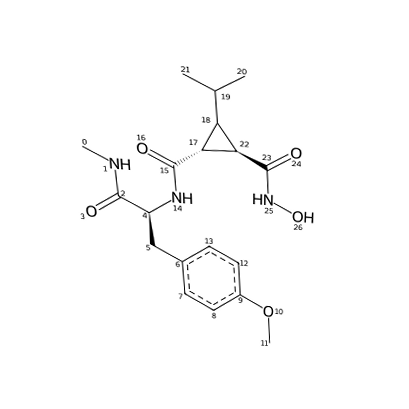 CNC(=O)[C@H](Cc1ccc(OC)cc1)NC(=O)[C@@H]1C(C(C)C)[C@H]1C(=O)NO